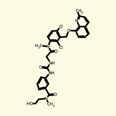 Cc1ccc2cccc(OCc3c(Cl)ccc(N(C)C(=O)CNC(=O)Nc4cccc(C(=O)N(C)CCO)c4)c3Cl)c2n1